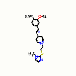 CCOc1cc(/C=C/c2cc[n+](CCSc3nccn3C)cc2)ccc1NC